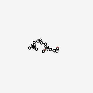 c1ccc(-c2nc(-c3ccc(-c4ccc5oc6ccccc6c5c4)cc3)nc(-c3cccc(-c4ccc5c(c4)oc4ccc(-c6cccc(-c7nc(-c8ccccc8)nc(-c8ccccc8)n7)c6)cc45)c3)n2)cc1